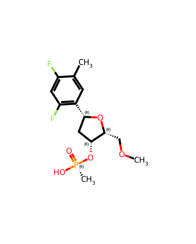 COC[C@H]1O[C@@H](c2cc(C)c(F)cc2F)C[C@H]1O[P@](C)(=O)O